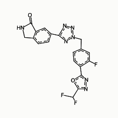 O=C1NCc2ccc(-c3nnn(Cc4ccc(-c5nnc(C(F)F)o5)c(F)c4)n3)cc21